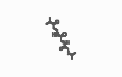 CC(C)SCC(=O)NCC(=O)NCCC(=O)C(C)C